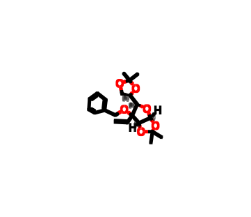 C=CC1(OCc2ccccc2)[C@@H]([C@H]2COC(C)(C)O2)O[C@@H]2OC(C)(C)O[C@@H]21